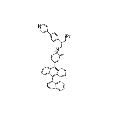 C=C1C=C(c2c3ccccc3c(-c3cccc4ccccc34)c3ccccc23)C=C/C1=N/CC(CC(C)C)c1ccc(-c2ccncc2)cc1